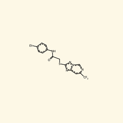 CCc1ccc(NC(=O)CSc2nc3cc(C(F)(F)F)ncn3n2)cc1